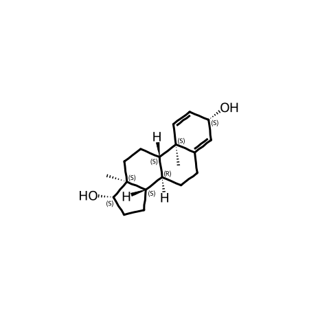 C[C@]12CC[C@H]3[C@@H](CCC4=C[C@@H](O)C=C[C@@]43C)[C@@H]1CC[C@@H]2O